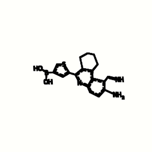 N=Cc1c(N)ccc2nc(-c3cc(B(O)O)cs3)c3c(c12)CCCC3